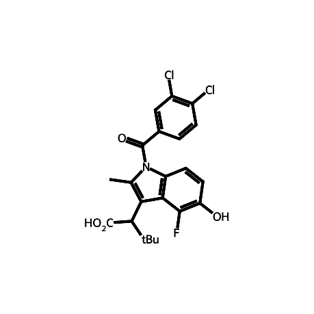 Cc1c(C(C(=O)O)C(C)(C)C)c2c(F)c(O)ccc2n1C(=O)c1ccc(Cl)c(Cl)c1